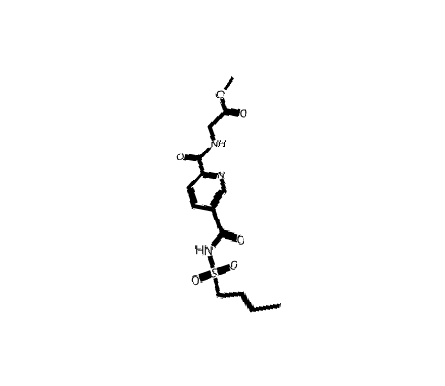 CCCCS(=O)(=O)NC(=O)c1ccc(C(=O)NCC(=O)OC)nc1